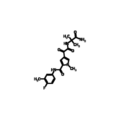 Cc1cc(NC(=O)c2cc(C(=O)C(=O)NC(C)(C)C(N)=O)cn2C)ccc1F